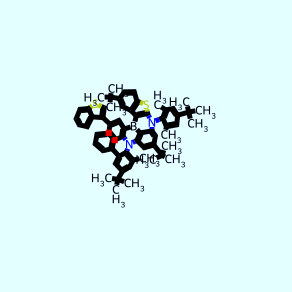 Cc1cc(C(C)(C)C)cc(C)c1N1c2cc(C(C)(C)C)cc3c2B(c2cc(-c4csc5ccccc45)ccc2N3c2c(C)cc(C(C)(C)C)cc2-c2ccccc2)c2c1sc1ccc(C(C)(C)C)cc21